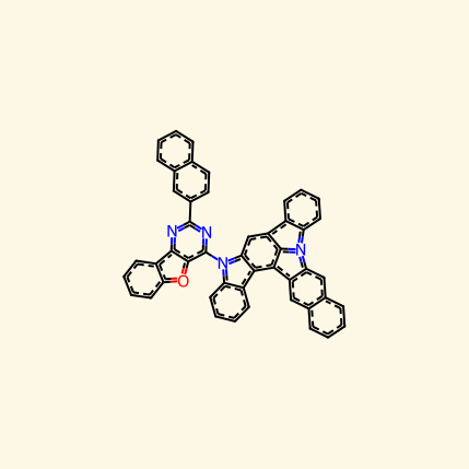 c1ccc2cc(-c3nc(-n4c5ccccc5c5c6c7cc8ccccc8cc7n7c8ccccc8c(cc54)c67)c4oc5ccccc5c4n3)ccc2c1